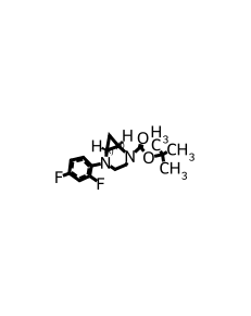 CC(C)(C)OC(=O)N1CCN(c2ccc(F)cc2F)[C@@H]2C[C@@H]21